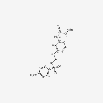 Cc1ccc(S(=O)(=O)OCCc2cccc(NC(=O)OC(C)(C)C)n2)cc1